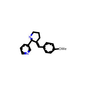 COc1ccc(/C=C2\CCCN=C2c2cccnc2)cc1